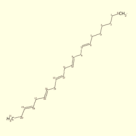 [CH2]CCCCC/C=C/C/C=C/C/C=C/C/C=C/C/C=C/CC